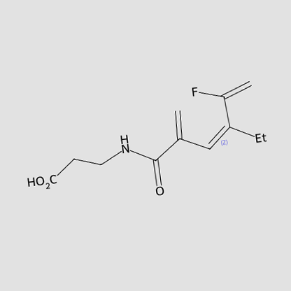 C=C(/C=C(/CC)C(=C)F)C(=O)NCCC(=O)O